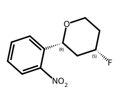 O=[N+]([O-])c1ccccc1[C@H]1C[C@@H](F)CCO1